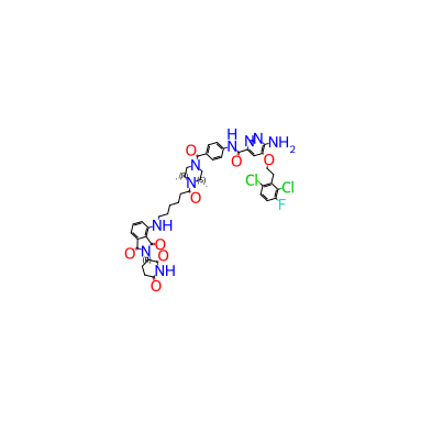 C[C@@H]1CN(C(=O)c2ccc(NC(=O)c3cc(OCCc4c(Cl)ccc(F)c4Cl)c(N)nn3)cc2)C[C@H](C)N1C(=O)CCCCCNc1cccc2c1C(=O)N([C@@H]1CCC(=O)NC1=O)C2=O